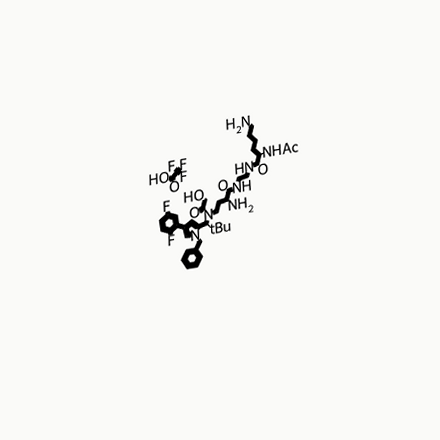 CC(=O)N[C@@H](CCCCN)C(=O)NCCNC(=O)[C@@H](N)CCN(C(=O)CO)[C@@H](c1cc(-c2cc(F)ccc2F)cn1Cc1ccccc1)C(C)(C)C.O=C(O)C(F)(F)F